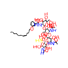 CCCCCC/C=C\CCCOc1cccc(C(=O)NC2C(OC3C(CO)OC(OC4C(CO)OC(OC5C(COS)OC(O)C(NC(C)=O)C5O)C(NC(C)=O)C4O)C(NC(C)=O)C3O)OC(CO)C(O)C2O)c1